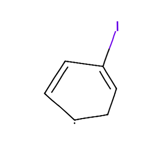 IC1=CC[CH]C=C1